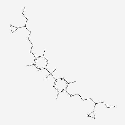 CCCC(CCCOc1c(C)cc(C(C)(C)c2cc(C)c(OCCCC(CCC)C3CO3)c(C)c2)cc1C)C1CO1